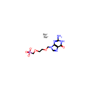 Nc1nc2c(ncn2COCCOCP(=O)([O-])[O-])c(=O)[nH]1.[Na+].[Na+]